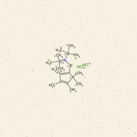 CC1=C(C)C(C)(C)[C]([Zr][N]([Si](C)(C)C)[Si](C)(C)C)=C1C.Cl.Cl